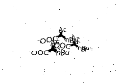 CCCCC(C(C)=O)C(=O)[O-].CCCCC(C(C)=O)C(=O)[O-].CCCCC(C(C)=O)C(=O)[O-].[Bi+3]